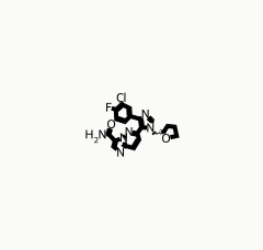 NC(=O)c1cnc2ccc(-c3c(-c4ccc(F)c(Cl)c4)ncn3C[C@@H]3CCCO3)nn12